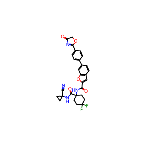 N#CC1(NC(=O)C2(NC(=O)c3cc4ccc(-c5ccc(C6=NC(=O)CO6)cc5)cc4o3)CCC(F)(F)CC2)CC1